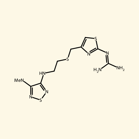 CNc1nsnc1NCCSCc1csc(N=C(N)N)n1